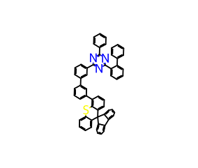 c1ccc(-c2nc(-c3cccc(-c4cccc(-c5cccc6c5Sc5ccccc5C65c6ccccc6-c6ccccc65)c4)c3)nc(-c3ccccc3-c3ccccc3)n2)cc1